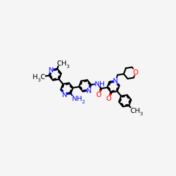 Cc1ccc(-c2cn(CC3CCOCC3)cc(C(=O)Nc3ccc(-c4cc(-c5cc(C)nc(C)c5)cnc4N)cn3)c2=O)cc1